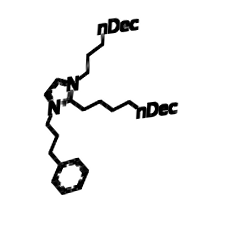 CCCCCCCCCCCCCCc1n(CCCCCCCCCCCCC)cc[n+]1CCCc1ccccc1